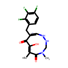 CCCC/C1=C(/O)C(=O)/C(Cc2ccc(F)c(F)c2F)=C\NNCN(C)C1=O